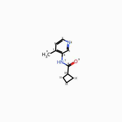 Cc1ccncc1NC(=O)C1CCC1